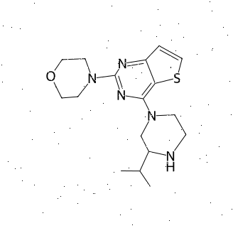 CC(C)C1CN(c2nc(N3CCOCC3)nc3ccsc23)CCN1